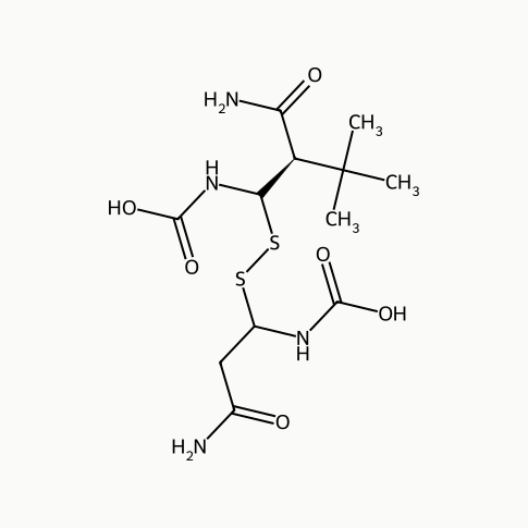 CC(C)(C)[C@H](C(N)=O)C(NC(=O)O)SSC(CC(N)=O)NC(=O)O